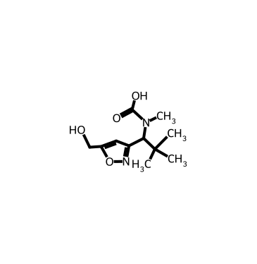 CN(C(=O)O)C(c1cc(CO)on1)C(C)(C)C